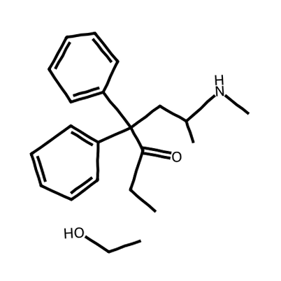 CCC(=O)C(CC(C)NC)(c1ccccc1)c1ccccc1.CCO